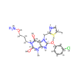 Cc1cnc(Cn2c(Oc3cccc(Cl)c3)nc3c2c(=O)n(CCCON)c(=O)n3C)s1